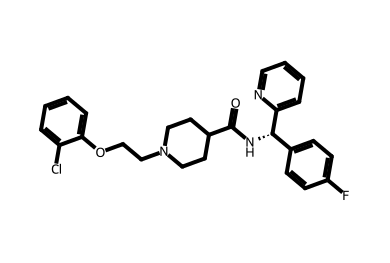 O=C(N[C@@H](c1ccc(F)cc1)c1ccccn1)C1CCN(CCOc2ccccc2Cl)CC1